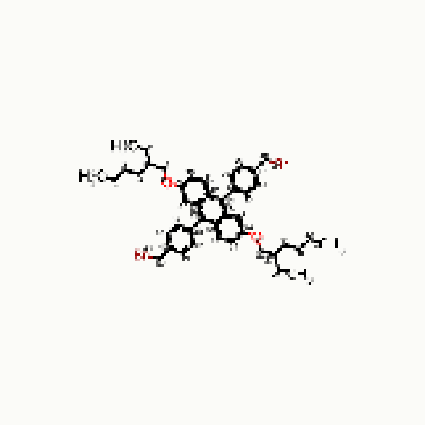 CCCCC(CC)COc1ccc2c(-c3ccc(CBr)cc3)c3cc(OCC(CC)CCCC)ccc3c(-c3ccc(CBr)cc3)c2c1